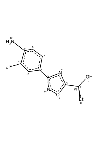 CC[C@H](O)c1nc(-c2ccc(N)c(F)c2)no1